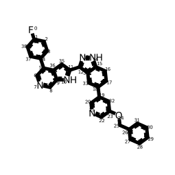 Fc1ccc(-c2cncc3[nH]c(-c4n[nH]c5ccc(-c6cncc(OCc7ccccc7)c6)cc45)cc23)cc1